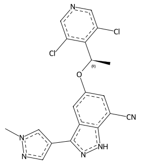 C[C@@H](Oc1cc(C#N)c2[nH]nc(-c3cnn(C)c3)c2c1)c1c(Cl)cncc1Cl